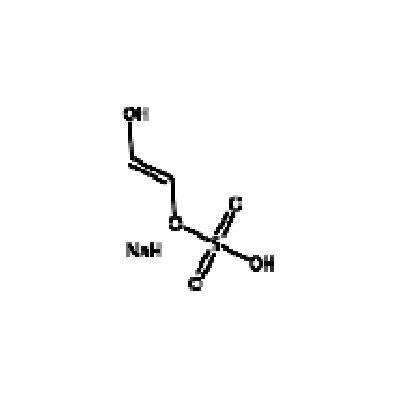 O=S(=O)(O)OC=CO.[NaH]